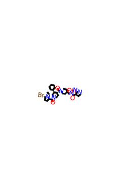 C=Cn1c(Br)ccc1C(=O)N1CC[C@@H](C(=O)N2CCC(O)(Cn3cnc4c(ccn4C)c3=O)CC2)[C@H](c2ccccc2)C1